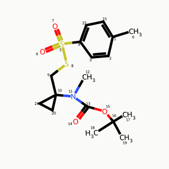 Cc1ccc(S(=O)(=O)SCC2(N(C)C(=O)OC(C)(C)C)CC2)cc1